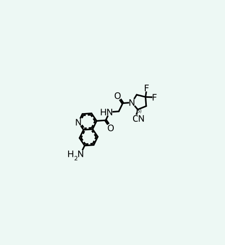 N#C[C@@H]1CC(F)(F)CN1C(=O)CNC(=O)c1ccnc2cc(N)ccc12